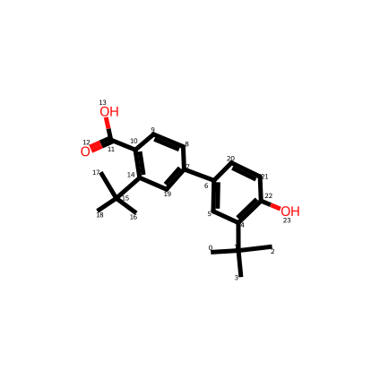 CC(C)(C)c1cc(-c2ccc(C(=O)O)c(C(C)(C)C)c2)ccc1O